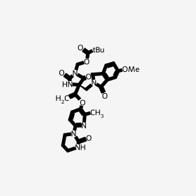 C=C(Oc1ccc(N2CCCNC2=O)nc1C)[C@]1(CN2Cc3ccc(OC)cc3C2=O)NC(=O)N(COC(=O)C(C)(C)C)C1=O